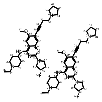 CCN1CCC(Nc2nc(N3CC[C@H](F)C3)nc3cc(C#CCCN4CCCC4)c(OC)cc23)CC1.CCN1CCC(Nc2nc(N3CC[C@H](F)C3)nc3cc(C#CCCN4CCCC4)c(OC)cc23)CC1